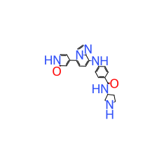 O=C(NC1CCNC1)c1ccc(Nc2ccc(-c3cc[nH]c(=O)c3)n3ccnc23)cc1